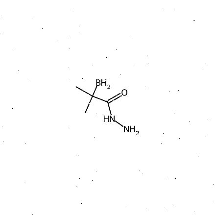 BC(C)(C)C(=O)NN